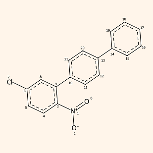 O=[N+]([O-])c1ccc(Cl)cc1-c1ccc(-c2ccccc2)cc1